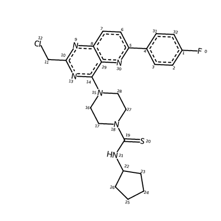 Fc1ccc(-c2ccc3nc(CCl)nc(N4CCN(C(=S)NC5CCCC5)CC4)c3n2)cc1